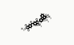 CN1C(=O)c2ccc(C(=O)C3=CCC4(C)C(=O)N(c5ccc(C6(C)CC(C)(C)c7ccccc76)cc5)C(=O)C4=C3)cc2C1=O